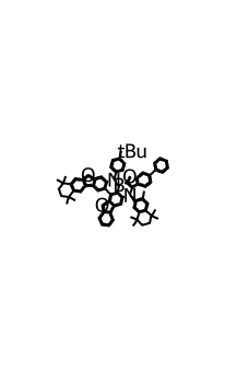 Cc1cc2c(cc1N1c3cc4c(oc5ccccc54)c4c3B(c3oc5cc(-c6ccccc6)ccc5c31)N(c1ccc(C(C)(C)C)cc1)c1cc3oc5cc6c(cc5c3cc1-4)C(C)(C)CCC6(C)C)C(C)(C)CCC2(C)C